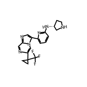 FC(F)(F)C1(c2cn3c(-c4cccc(N[C@@H]5CCNC5)n4)cnc3cn2)CC1